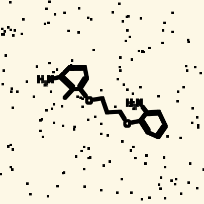 Cc1c(N)cccc1OCCCOc1ccccc1N